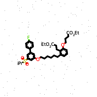 CCOC(=O)CCCOc1cccc(CCCCCCOc2cc(-c3ccc(F)cc3)cc(S(=O)(=O)C(C)C)c2)c1CCC(=O)OCC